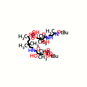 C/C(CCNC(=O)[C@@H](O)C(C)(C)COP(=O)(O)OC(C)CCC(C)(C)CCNC(=O)C(O)C(C)(C)COP(=O)(O)OC(C)(C)C)=N\OC(C)(C)C